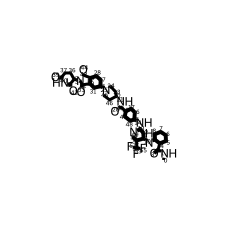 CNC(=O)c1ccccc1Nc1cc(Nc2ccc(C(=O)NC3CCN(c4ccc5c(c4)C(=O)N(C4CCC(=O)NC4=O)C5=O)CC3)cc2)ncc1C(F)(F)F